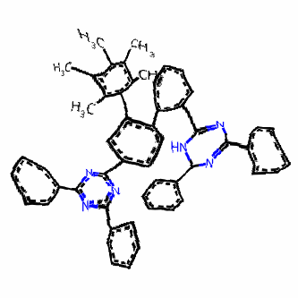 Cc1c(C)c(C)c(-c2cc(-c3nc(-c4ccccc4)nc(-c4ccccc4)n3)ccc2-c2ccccc2C2=NC(c3ccccc3)=NC(c3ccccc3)N2)c(C)c1C